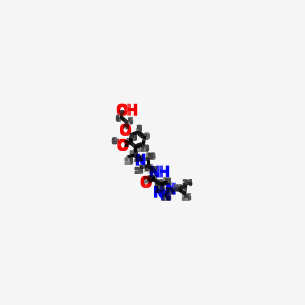 COc1c(OCCO)cccc1C(C)N1CC(NC(=O)c2cn(C3CC3)nn2)C1